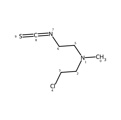 CN(CCCl)CCN=C=S